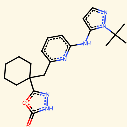 CC(C)(C)n1nccc1Nc1cccc(CC2(c3n[nH]c(=O)o3)CCCCC2)n1